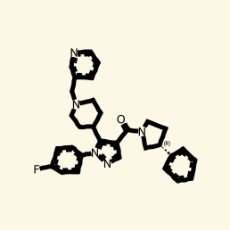 O=C(c1cnn(-c2ccc(F)cc2)c1C1CCN(Cc2cccnc2)CC1)N1CC[C@H](c2ccccc2)C1